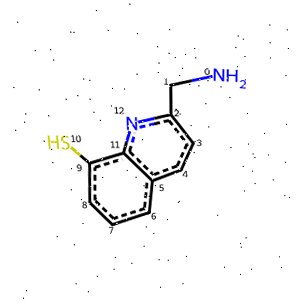 NCc1ccc2cccc(S)c2n1